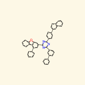 c1ccc(-c2cccc(-c3nc(-c4ccc(-c5ccc6ccccc6c5)cc4)nc(-c4cc(-c5ccccc5)c5c(c4)oc4ccccc45)n3)c2)cc1